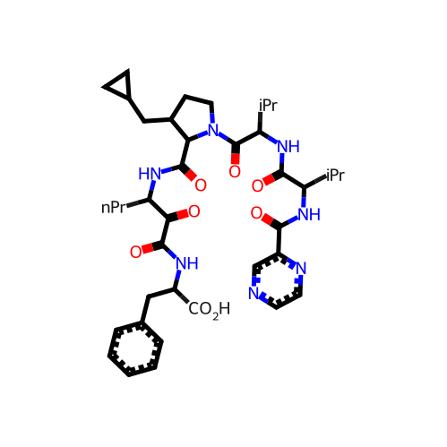 CCCC(NC(=O)C1C(CC2CC2)CCN1C(=O)C(NC(=O)C(NC(=O)c1cnccn1)C(C)C)C(C)C)C(=O)C(=O)NC(Cc1ccccc1)C(=O)O